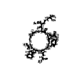 CC(=O)N[C@@H](CCCNC(=N)N)C(=O)N[C@H]1CCC(=O)NCCC[C@@H](C(N)=O)NC(=O)[C@H](Cc2c[nH]c3ccccc23)NC(=O)[C@H](CCCNC(=N)N)NC(=O)[C@@H](Cc2ccc(F)cc2)NC(=O)[C@H](CCC(N)=O)NC1=O